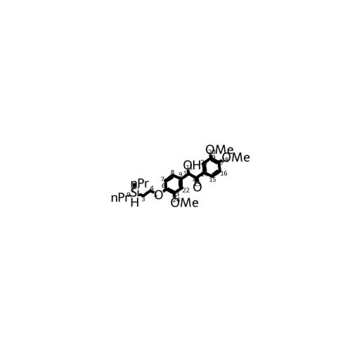 CCC[SiH](CCC)CCOc1ccc(C(O)C(=O)c2ccc(OC)c(OC)c2)cc1OC